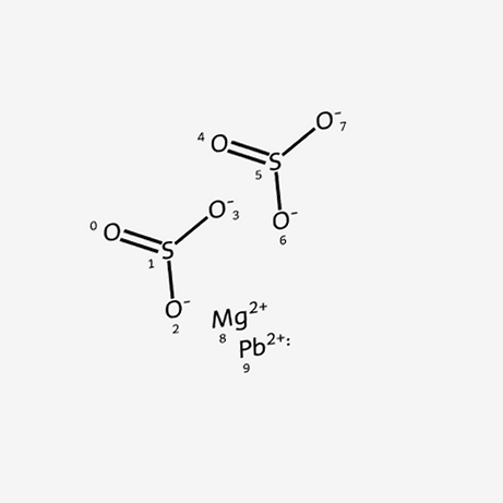 O=S([O-])[O-].O=S([O-])[O-].[Mg+2].[Pb+2]